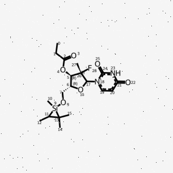 CCC(=O)O[C@@H]1[C@@H](CO[Si]2(C)C(C)C2(C)C)OC(n2ccc(=O)[nH]c2=O)[C@@]1(C)F